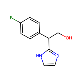 OCC(c1ccc(F)cc1)c1ncc[nH]1